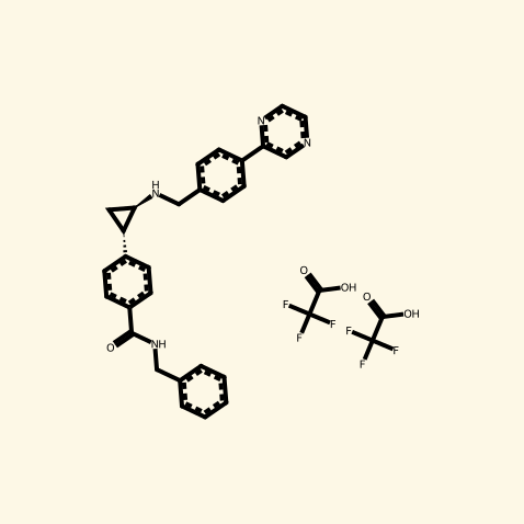 O=C(NCc1ccccc1)c1ccc([C@@H]2C[C@H]2NCc2ccc(-c3cnccn3)cc2)cc1.O=C(O)C(F)(F)F.O=C(O)C(F)(F)F